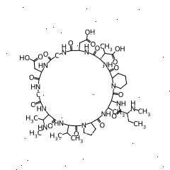 CCC(NC)C(=O)NC1C(=O)N2CCCCC2C(=O)NC(C(C)C(=O)O)C(=O)NC(CC(=O)O)C(=O)NCC(=O)NC(CC(=O)O)C(=O)NCC(=O)NC(C(C)NC)C(=O)NC(C(C)C)C(=O)N2CCCC2C(=O)NC1C